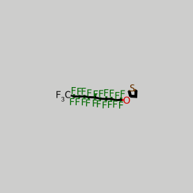 FC(F)(F)C(F)(F)C(F)(F)C(F)(F)C(F)(F)C(F)(F)C(F)(F)C(F)(F)C(F)(F)C(F)(F)C(F)(F)Oc1ccsc1